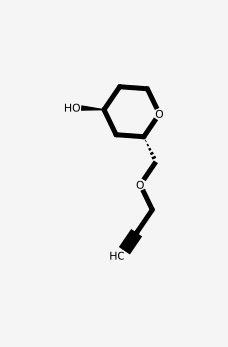 C#CCOC[C@@H]1C[C@@H](O)CCO1